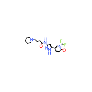 O=C(CCCN1CCCCC1)Nc1cc(-c2ccc(=O)n(C(F)F)c2)[nH]n1